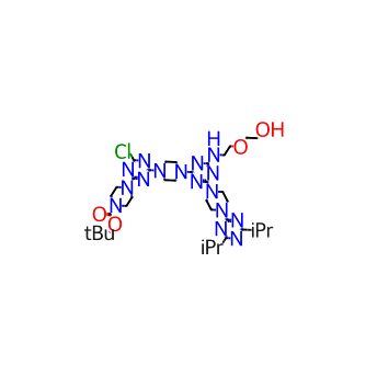 CC(C)c1nc(C(C)C)nc(N2CCN(c3nc(NCCOCCO)nc(N4CCN(c5nc(Cl)nc(N6CCN(C(=O)OC(C)(C)C)CC6)n5)CC4)n3)CC2)n1